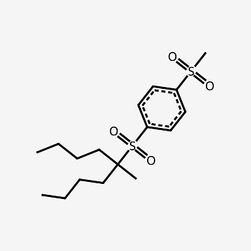 CCCCC(C)(CCCC)S(=O)(=O)c1ccc(S(C)(=O)=O)cc1